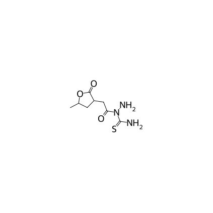 CC1CC(CC(=O)N(N)C(N)=S)C(=O)O1